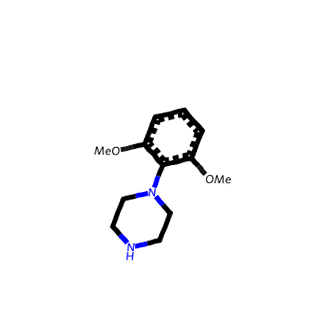 COc1cccc(OC)c1N1CCNCC1